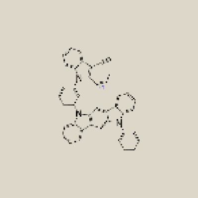 C#Cc1c(/C=C\C)n(-c2cccc(-n3c4ccccc4c4cc5c(cc43)c3ccccc3n5-c3ccccc3)c2)c2ccccc12